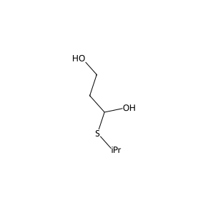 CC(C)SC(O)CCO